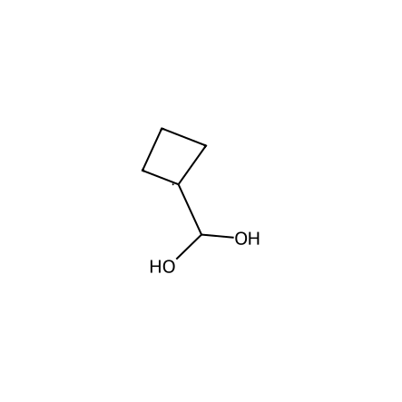 OC(O)[C]1CCC1